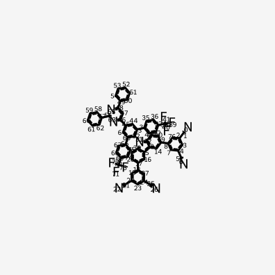 N#Cc1cc(C#N)cc(-c2ccc3c(c2)c2cc(-c4cc(C#N)cc(C#N)c4)ccc2n3-c2c(-c3ccc(C(F)(F)F)cc3)cc(-c3cc(-c4ccccc4)nc(-c4ccccc4)n3)cc2-c2ccc(C(F)(F)F)cc2)c1